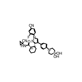 N#Cc1ccc(-n2cc(-c3ccc(N4CCS(O)(O)CC4)cc3)c([C@@H]3CCCC[C@H]3C(=O)NC3(C#N)CC3)n2)c(F)c1